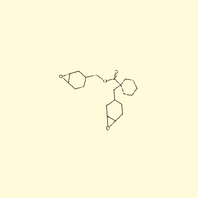 O=C(OCC1CCC2OC2C1)C1(CC2CCC3OC3C2)CCCCC1